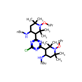 CCCCNC1CC(C)(C)N(OCCC)C(C)(C)C1c1nc(Cl)nc(C2C(NCCCC)CC(C)(C)N(OCCC)C2(C)C)n1